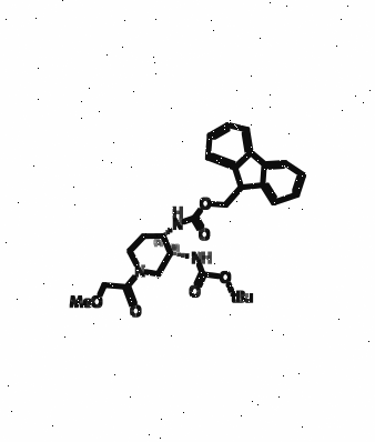 COCC(=O)N1CC[C@H](NC(=O)OCC2c3ccccc3-c3ccccc32)[C@H](NC(=O)OC(C)(C)C)C1